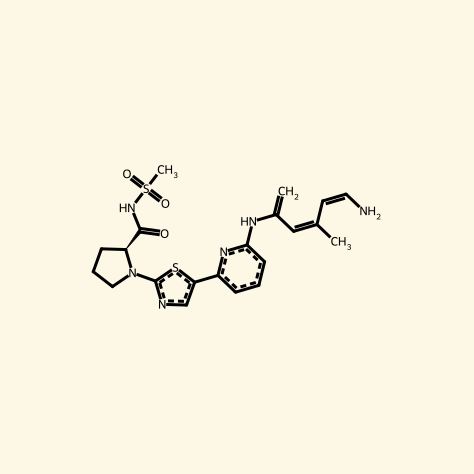 C=C(/C=C(C)\C=C/N)Nc1cccc(-c2cnc(N3CCC[C@H]3C(=O)NS(C)(=O)=O)s2)n1